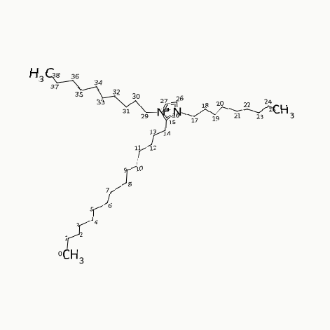 CCCCCCCCCCCCCCCc1n(CCCCCCCCC)cc[n+]1CCCCCCCCCC